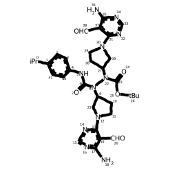 CC(C)c1ccc(NC(=O)N(C2CCN(c3ncnc(N)c3C=O)C2)N(C(=O)OC(C)(C)C)C2CCN(c3ncnc(N)c3C=O)C2)cc1